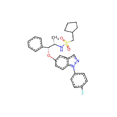 C[C@H](NS(=O)(=O)CC1CCCC1)[C@H](Oc1ccc2c(cnn2-c2ccc(F)cc2)c1)c1ccccc1